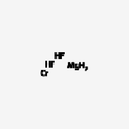 F.F.[Cr].[MgH2]